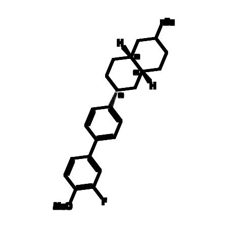 CCCCC1CC[C@@H]2C[C@H](c3ccc(-c4ccc(OC)c(F)c4)cc3)CC[C@@H]2C1